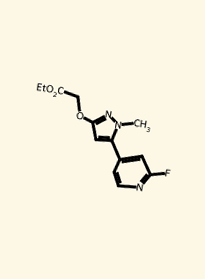 CCOC(=O)COc1cc(-c2ccnc(F)c2)n(C)n1